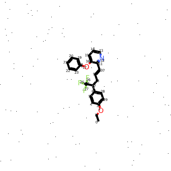 CCOc1ccc(C(CC=Cc2ncccc2Oc2ccccc2)C(F)(F)F)cc1